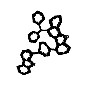 c1ccc(N(c2ccccc2)c2cc3c(oc4cccc(-c5ccc(-c6cccc7c6sc6ccccc67)cc5)c43)c3ccccc23)cc1